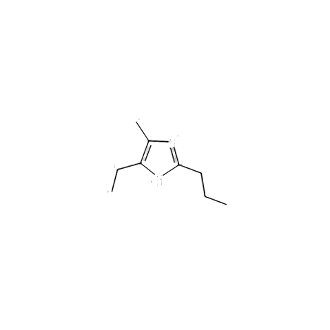 CCCc1nc(C)c(CC)[nH]1